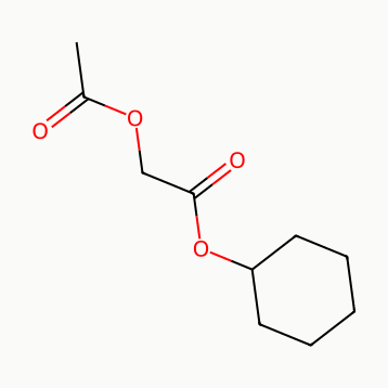 CC(=O)OCC(=O)OC1CCCCC1